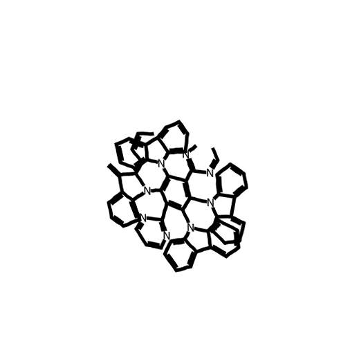 C=c1/c(=C\C=C/C)n(-c2c(-c3ncccn3)c(-n3c4ccccc4c4ccccc43)c(-n3c4c(c5ccccc53)=CCCC=4)c(C(/N=C\C)=N/C)c2-n2c3ccccc3c3ccccc32)c2ccccc12